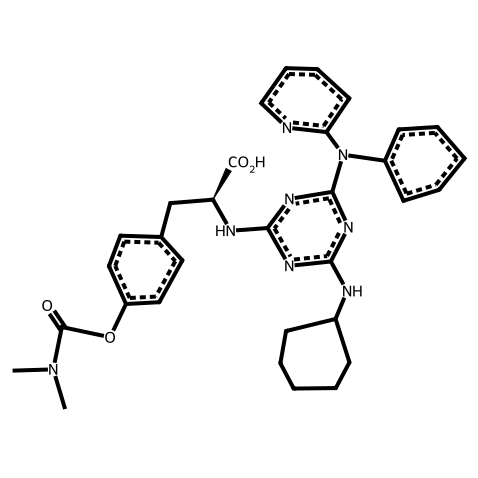 CN(C)C(=O)Oc1ccc(C[C@H](Nc2nc(NC3CCCCC3)nc(N(c3ccccc3)c3ccccn3)n2)C(=O)O)cc1